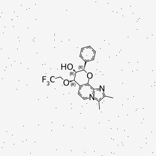 Cc1nc2c3c(ccn2c1C)[C@@H](OCC(F)(F)F)[C@@H](O)[C@@H](c1ccccc1)O3